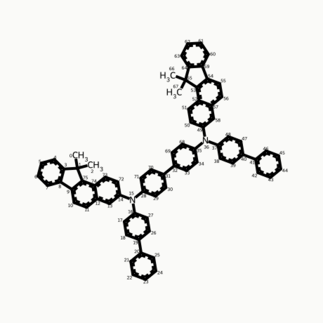 CC1(C)c2ccccc2-c2ccc3cc(N(c4ccc(-c5ccccc5)cc4)c4ccc(-c5ccc(N(c6ccc(-c7ccccc7)cc6)c6ccc7c8c(ccc7c6)-c6ccccc6C8(C)C)cc5)cc4)ccc3c21